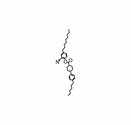 CCCCCCCCCc1ccc(OC(=O)C2CCC(c3ccc(CCCCCC)cc3)CC2)c(C#N)c1